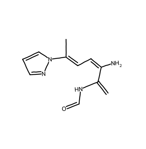 C=C(NC=O)/C(N)=C\C=C(/C)n1cccn1